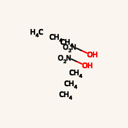 C.C.C.C.C.C.O=[N+]([O-])O.O=[N+]([O-])O